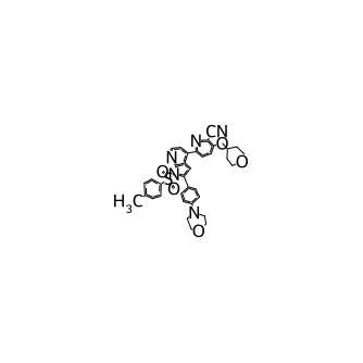 Cc1ccc(S(=O)(=O)n2c(-c3ccc(N4CCOCC4)cc3)cc3c(-c4ccc(OC5CCOCC5)c(C#N)n4)ccnc32)cc1